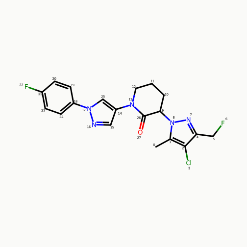 Cc1c(Cl)c(CF)nn1C1CCCN(c2cnn(-c3ccc(F)cc3)c2)C1=O